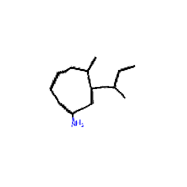 CCC(C)C1CC(N)CCCCC1C